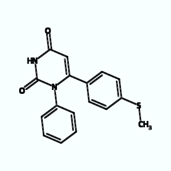 CSc1ccc(-c2cc(=O)[nH]c(=O)n2-c2ccccc2)cc1